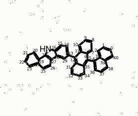 c1ccc2c(-c3c4ccccc4c(-c4ccc5[nH]c6c7ccccc7ccc6c5c4)c4ccccc34)cccc2c1